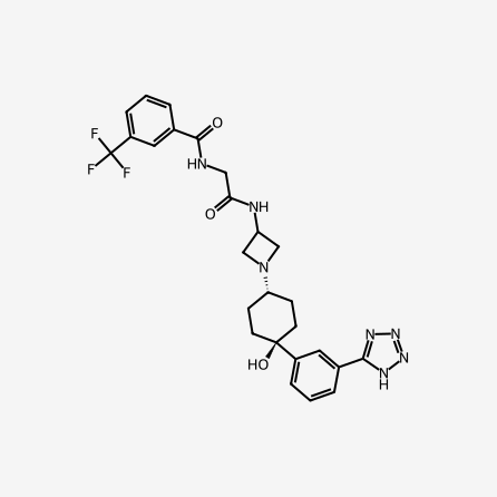 O=C(CNC(=O)c1cccc(C(F)(F)F)c1)NC1CN([C@H]2CC[C@@](O)(c3cccc(-c4nnn[nH]4)c3)CC2)C1